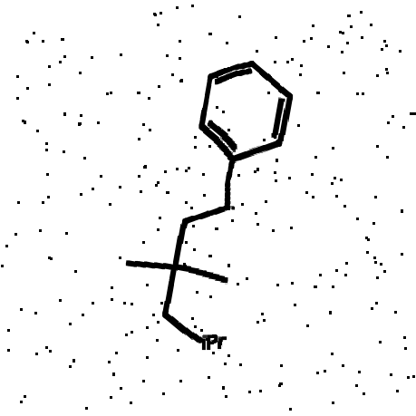 CC(C)CC(C)(C)C[CH]c1ccccc1